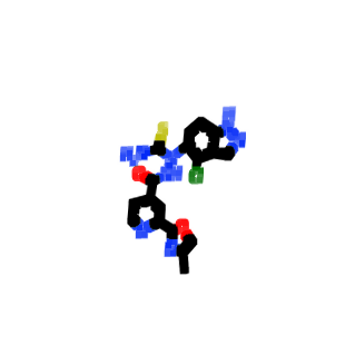 Cc1coc(-c2cc(C(=O)NN(C(N)=S)c3ccc4[nH]ncc4c3Cl)ccn2)n1